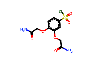 NC(=O)COc1ccc(S(=O)(=O)Cl)cc1OCC(N)=O